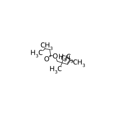 CC(C)=CC(C)(C)COC(=O)CC(C)C